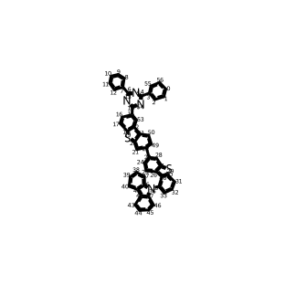 c1ccc(-c2nc(-c3ccccc3)nc(-c3ccc4sc5cc(-c6ccc7c(c6)sc6cccc(-n8c9ccccc9c9ccccc98)c67)ccc5c4c3)n2)cc1